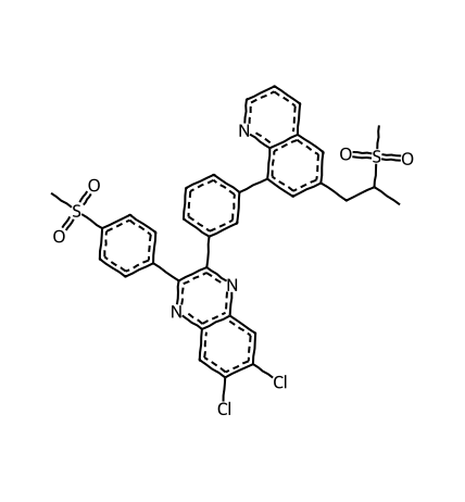 CC(Cc1cc(-c2cccc(-c3nc4cc(Cl)c(Cl)cc4nc3-c3ccc(S(C)(=O)=O)cc3)c2)c2ncccc2c1)S(C)(=O)=O